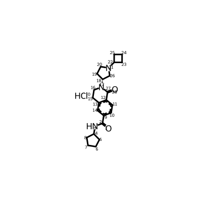 Cl.O=C(NC1CCCC1)c1ccc2c(c1)CCN([C@@H]1CCN(C3CCC3)C1)C2=O